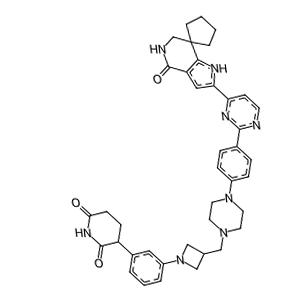 O=C1CCC(c2cccc(N3CC(CN4CCN(c5ccc(-c6nccc(-c7cc8c([nH]7)C7(CCCC7)CNC8=O)n6)cc5)CC4)C3)c2)C(=O)N1